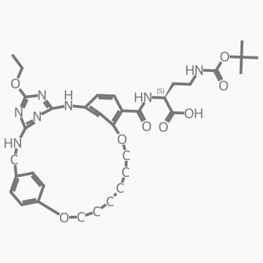 CCOc1nc2nc(n1)Nc1ccc(C(=O)N[C@@H](CCNC(=O)OC(C)(C)C)C(=O)O)c(c1)OCCCCCCOc1ccc(cc1)CN2